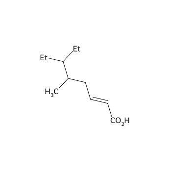 CCC(CC)C(C)CC=CC(=O)O